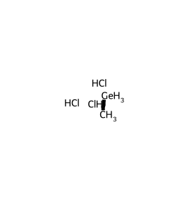 Cl.Cl.Cl.[CH3][GeH3]